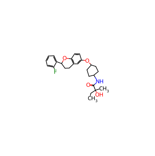 CCC(C)(O)C(=O)NC1CCC(Oc2ccc3c(c2)CCC(c2ccccc2F)O3)CC1